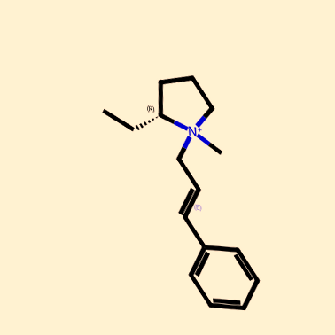 CC[C@@H]1CCC[N+]1(C)C/C=C/c1ccccc1